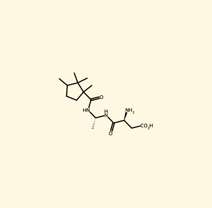 CC1CCC(C)(C(=O)N[C@@H](C)NC(=O)[C@@H](N)CC(=O)O)C1(C)C